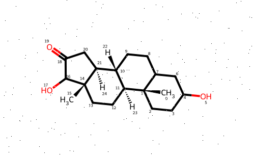 C[C@]12CCC(O)CC1CC[C@@H]1[C@@H]2CC[C@]2(C)C(O)C(=O)C[C@@H]12